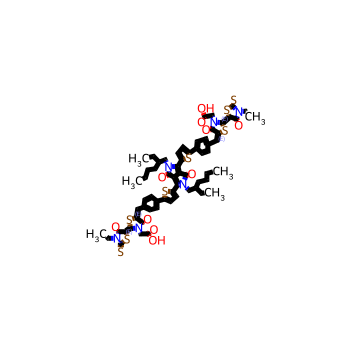 CCCCC(CC)CN1C(=O)C2=C(c3ccc(-c4ccc(/C=c5/s/c(=C6/SC(=S)N(CC)C6=O)n(CC(=O)O)c5=O)cc4)s3)N(CC(CC)CCCC)C(=O)C2=C1c1ccc(-c2ccc(/C=c3/s/c(=C4/SC(=S)N(CC)C4=O)n(CC(=O)O)c3=O)cc2)s1